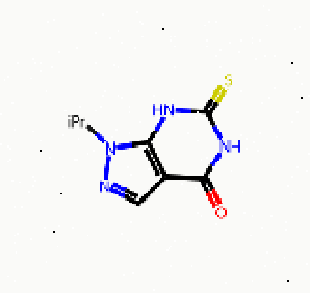 CC(C)n1ncc2c(=O)[nH]c(=S)[nH]c21